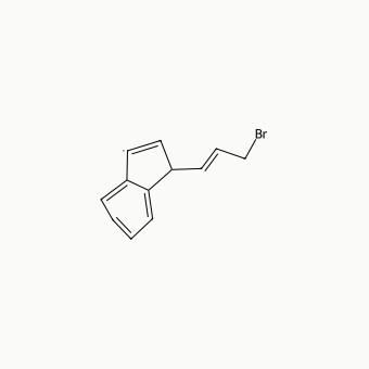 BrC/C=C/C1C=[C]c2ccccc21